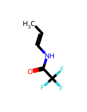 CC=CNC(=O)C(F)(F)F